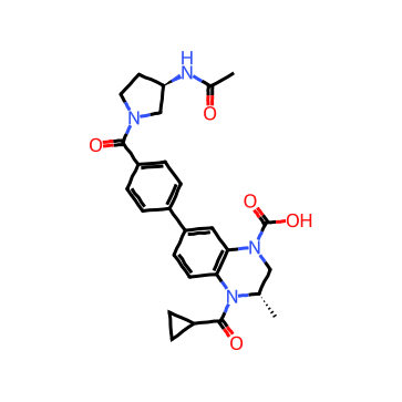 CC(=O)N[C@@H]1CCN(C(=O)c2ccc(-c3ccc4c(c3)N(C(=O)O)C[C@H](C)N4C(=O)C3CC3)cc2)C1